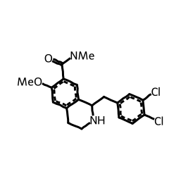 CNC(=O)c1cc2c(cc1OC)CCNC2Cc1ccc(Cl)c(Cl)c1